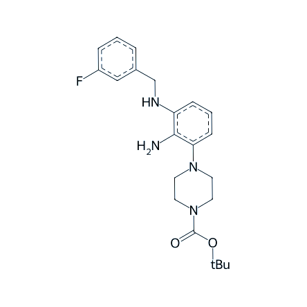 CC(C)(C)OC(=O)N1CCN(c2cccc(NCc3cccc(F)c3)c2N)CC1